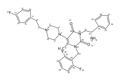 Cc1c(N2CCN(CCc3ccc(F)cc3)CC2)c(=O)n(C[C@@H](N)c2ccccc2)c(=O)n1Cc1c(F)cccc1F